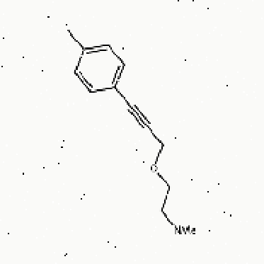 CNCCOCC#Cc1ccc(C)cc1